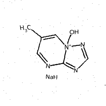 CC1=C[N+]2(O)N=CN=C2N=C1.[NaH]